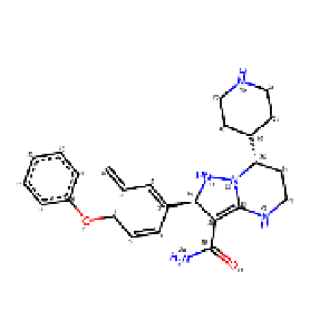 C=C/C=C(\C=C/COc1ccccc1)[C@H]1NN2C(=C1C(N)=O)NCC[C@H]2C1CCNCC1